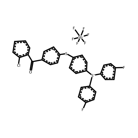 O=C(c1ccc(Sc2ccc([S+](c3ccc(F)cc3)c3ccc(F)cc3)cc2)cc1)c1ccccc1Cl.[F][Sb-]([F])([F])([F])([F])[F]